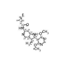 COc1ncnc(OC)c1-c1[nH]c2cc(NC(=O)[C@@H]3C[C@@H]3F)ncc2c1C